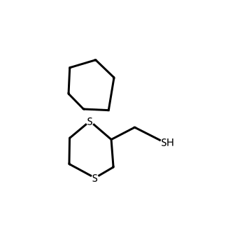 C1CCCCC1.SCC1CSCCS1